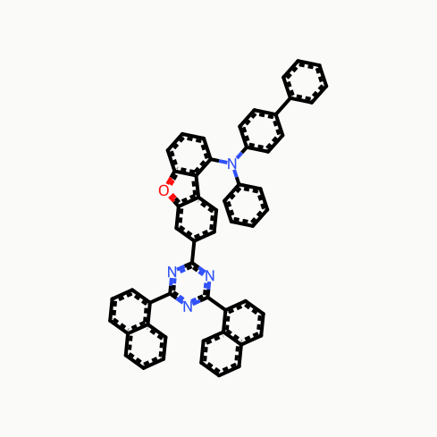 c1ccc(-c2ccc(N(c3ccccc3)c3cccc4oc5cc(-c6nc(-c7cccc8ccccc78)nc(-c7cccc8ccccc78)n6)ccc5c34)cc2)cc1